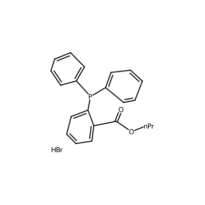 Br.CCCOC(=O)c1ccccc1P(c1ccccc1)c1ccccc1